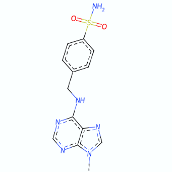 Cn1cnc2c(NCc3ccc(S(N)(=O)=O)cc3)ncnc21